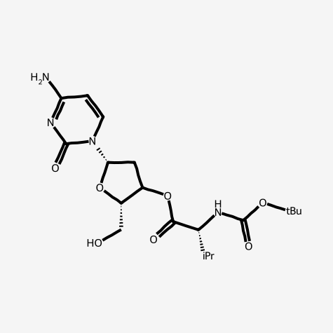 CC(C)[C@@H](NC(=O)OC(C)(C)C)C(=O)OC1C[C@@H](n2ccc(N)nc2=O)O[C@H]1CO